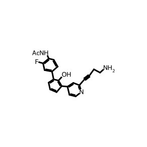 CC(=O)Nc1ccc(-c2cccc(-c3ccnc(C#CCCN)c3)c2O)cc1F